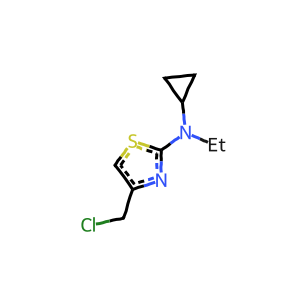 CCN(c1nc(CCl)cs1)C1CC1